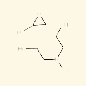 CC1CO1.CN(CCO)CCO